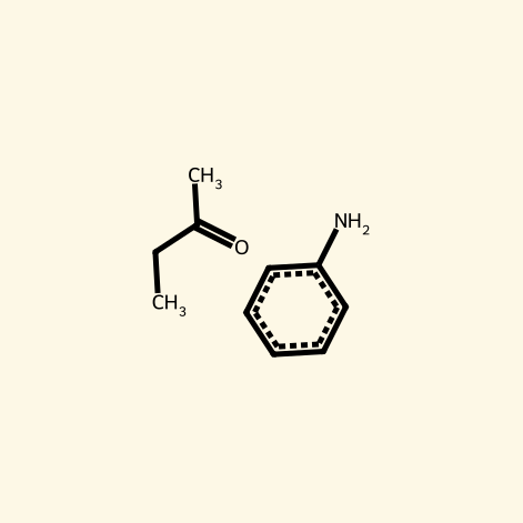 CCC(C)=O.Nc1ccccc1